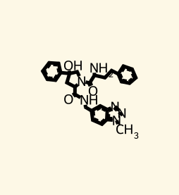 Cn1nnc2cc(CNC(=O)C3CC(O)(c4ccccc4)CN3C(=O)C(N)CCc3ccccc3)ccc21